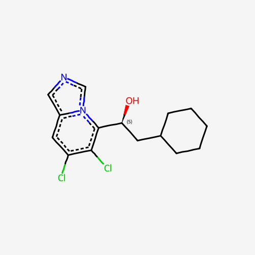 O[C@@H](CC1CCCCC1)c1c(Cl)c(Cl)cc2cncn12